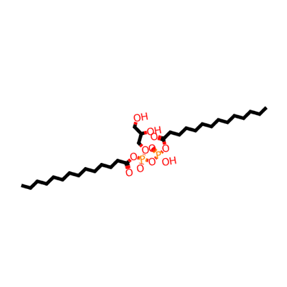 CCCCCCCCCCCCCC(=O)OP(=O)(O)OP(=O)(OCC(O)CO)OC(=O)CCCCCCCCCCCCC